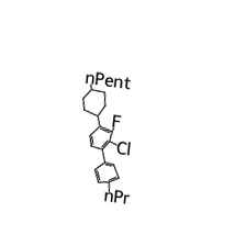 CCCCCC1CCC(c2ccc(-c3ccc(CCC)cc3)c(Cl)c2F)CC1